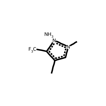 Cc1cn(C)nc1C(F)(F)F.N